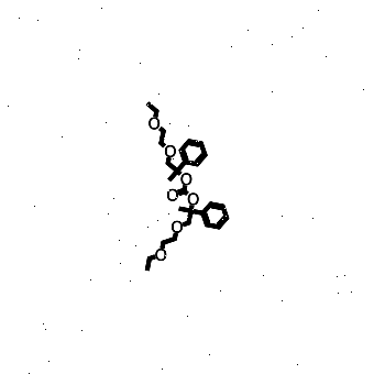 CCOCCOCC(C)(OC(=O)OC(C)(COCCOCC)c1ccccc1)c1ccccc1